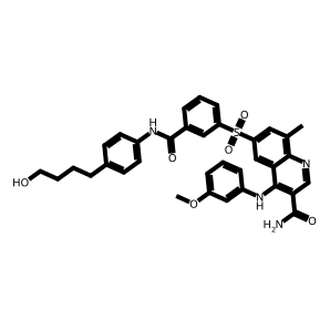 COc1cccc(Nc2c(C(N)=O)cnc3c(C)cc(S(=O)(=O)c4cccc(C(=O)Nc5ccc(CCCCO)cc5)c4)cc23)c1